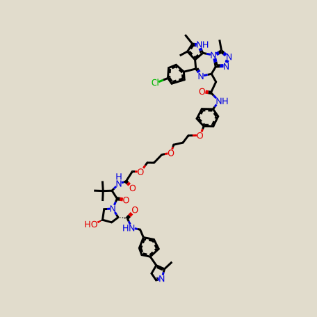 CC1=C(c2ccc(CNC(=O)[C@@H]3C[C@@H](O)CN3C(=O)C(NC(=O)COCCCOCCCOc3ccc(NC(=O)CC4N=C(c5ccc(Cl)cc5)c5c([nH]c(C)c5C)-n5c(C)nnc54)cc3)C(C)(C)C)cc2)CC=N1